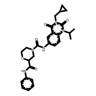 CC(C)n1c(=O)n(CC2CC2)c(=O)c2cc(NC(=O)N3CCOC(C(=O)Nc4ccccc4)C3)ccc21